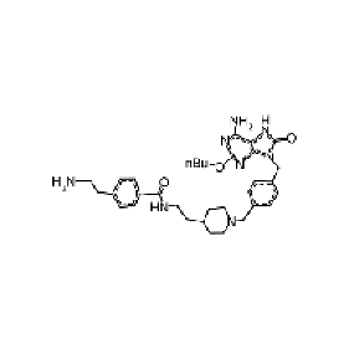 CCCCOc1nc(N)c2[nH]c(=O)n(Cc3ccc(CN4CCC(CCNC(=O)c5ccc(CCN)cc5)CC4)cc3)c2n1